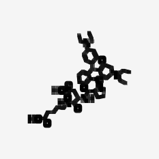 CCN(CC)c1ccc2c(-c3ccccc3C(=O)N3CCCC3C(=O)NC(CS(=O)(=O)O)C(=O)NCCCCC(=O)O)c3ccc(=[N+](CC)CC)cc-3oc2c1